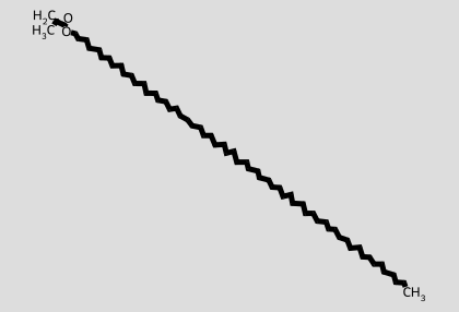 C=C(C)C(=O)OCCCCCCCCCCCCCCCCCCCCCCCCCCCCCCCCCCCCCCCCCCCCCCCCCCCCCCCCCCCC